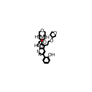 C=CC(=O)N1[C@@H]2COC[C@H]1CC(c1[nH]c3nnc(-c4ccccc4O)cc3c1CCOC1CCOC1)C2